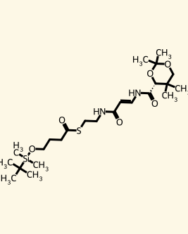 CC1(C)OCC(C)(C)[C@H](C(=O)NC=CC(=O)NCCSC(=O)CCCO[Si](C)(C)C(C)(C)C)O1